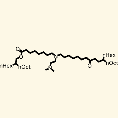 CCCCCCCCC(CCCCCC)CCC(=O)CCCCCCCN(CCCCCCCC(=O)OCC(CCCCCC)CCCCCCCC)CCN(C)C